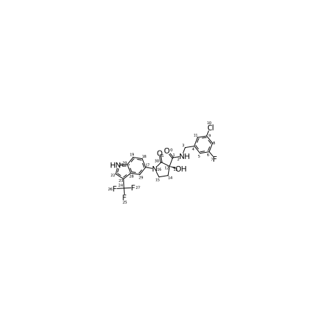 O=C(NCc1cc(F)cc(Cl)c1)[C@]1(O)CCN(c2ccc3[nH]cc(C(F)(F)F)c3c2)C1=O